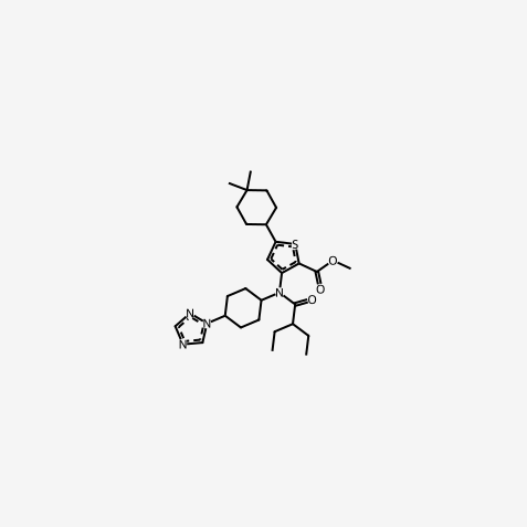 CCC(CC)C(=O)N(c1cc(C2CCC(C)(C)CC2)sc1C(=O)OC)C1CCC(n2cncn2)CC1